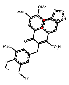 COc1cc(C(=O)/C(Cc2cc(OC)c(OC(C)C)c(OC(C)C)c2)=C(/C(=O)O)c2ccc3nsnc3c2)cc(OC)c1OC